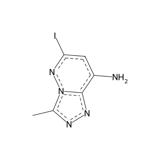 Cc1nnc2c(N)cc(I)nn12